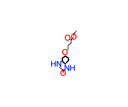 CCOC(=O)CCCOc1ccc2c(c1)NCC(=O)N2